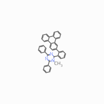 CN1C(c2ccccc2)=NC(c2ccccc2)=NC1c1ccccc1-c1ccc2c3ccccc3c3ccccc3c2c1